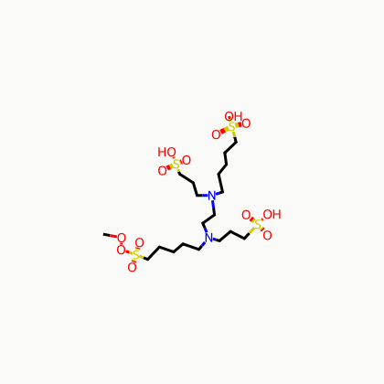 COOS(=O)(=O)CCCCCN(CCCS(=O)(=O)O)CCN(CCCCCS(=O)(=O)O)CCCS(=O)(=O)O